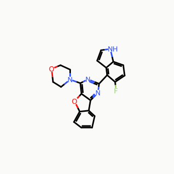 Fc1ccc2[nH]ccc2c1-c1nc(N2CCOCC2)c2oc3ccccc3c2n1